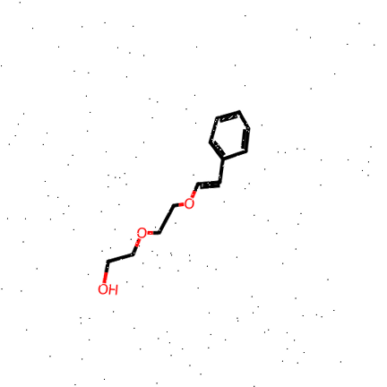 OCCOCCOC=Cc1ccccc1